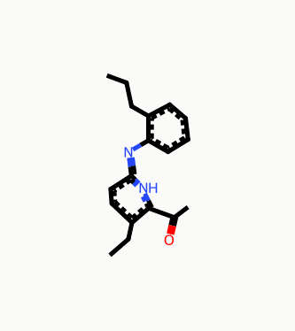 CCCc1ccccc1N=c1ccc(CC)c(C(C)=O)[nH]1